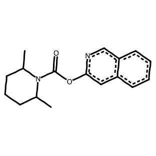 CC1CCCC(C)N1C(=O)Oc1cc2ccccc2cn1